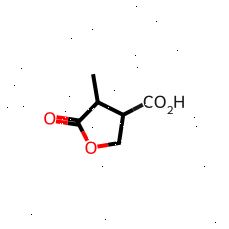 CC1C(=O)OCC1C(=O)O